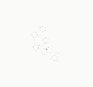 Cc1cc(N2c3cccc(c3)N(c3ccccc3)c3ccccc3Sc3ccccc32)c(Cl)c(N2c3ccccc3C3(C)CCCCC23C)c1